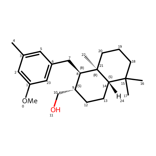 COc1cc(C)cc(C[C@@H]2[C@@H](CO)CC[C@H]3C(C)(C)CCC[C@]23C)c1